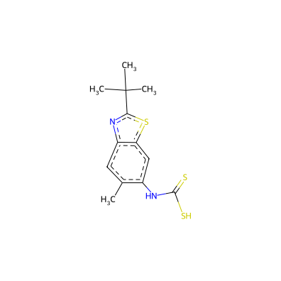 Cc1cc2nc(C(C)(C)C)sc2cc1NC(=S)S